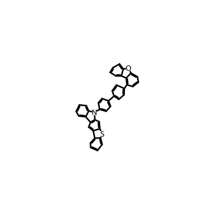 c1ccc2c(c1)oc1cccc(-c3ccc(-c4ccc(-n5c6ccccc6c6cc7c(cc65)sc5ccccc57)cc4)cc3)c12